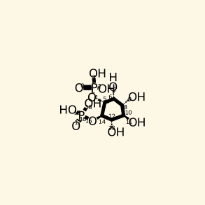 O=P(O)(O)O[C@@H]1[C@H](O)[C@H](O)[C@@H](O)[C@H](O)[C@H]1OP(=O)(O)O